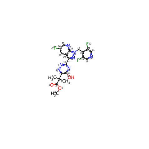 COC(=O)C(C)(C)c1nnc(-c2nn(Cc3c(F)cncc3F)c3ncc(F)cc23)nc1O